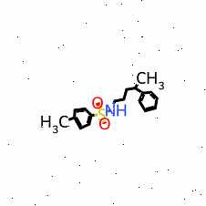 Cc1ccc(S(=O)(=O)NCCCC(C)c2ccccc2)cc1